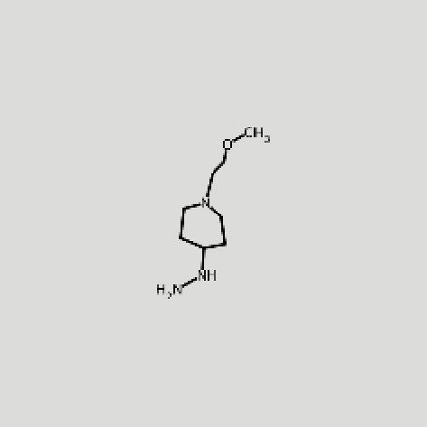 COCCN1CCC(NN)CC1